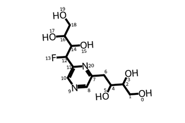 OCC(O)C(O)Cc1cncc(C(F)C(O)C(O)CO)n1